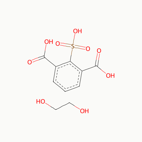 O=C(O)c1cccc(C(=O)O)c1S(=O)(=O)O.OCCO